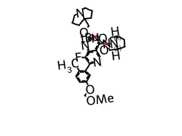 COCOc1ccc(C)c(-c2ncc3c(N4C[C@H]5CC[C@@H](C4)N5C(=O)OC(C)(C)C)nc(OCC45CCCN4CCC5)nc3c2F)c1